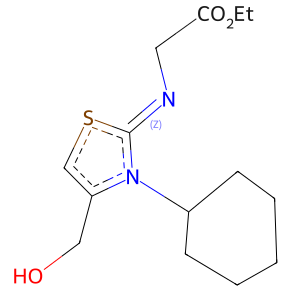 CCOC(=O)C/N=c1\scc(CO)n1C1CCCCC1